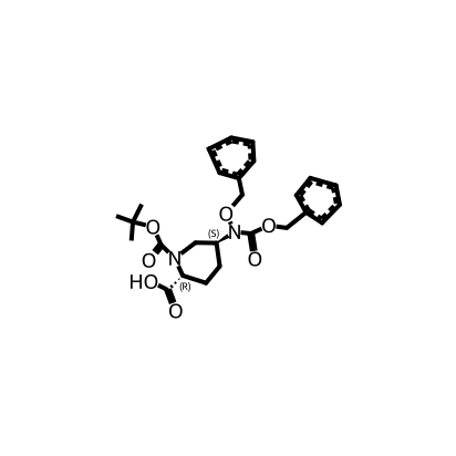 CC(C)(C)OC(=O)N1C[C@@H](N(OCc2ccccc2)C(=O)OCc2ccccc2)CC[C@@H]1C(=O)O